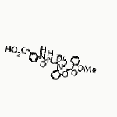 COc1ccccc1C(=O)COc1ccccc1N(CCC(C)C)C(=O)CNC(=O)Nc1cccc(CC(=O)O)c1